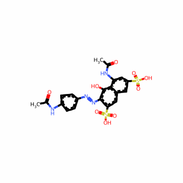 CC(=O)Nc1ccc(N=Nc2c(S(=O)(=O)O)cc3cc(S(=O)(=O)O)cc(NC(C)=O)c3c2O)cc1